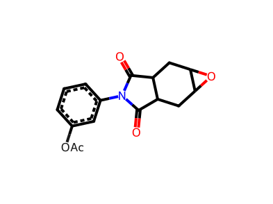 CC(=O)Oc1cccc(N2C(=O)C3CC4OC4CC3C2=O)c1